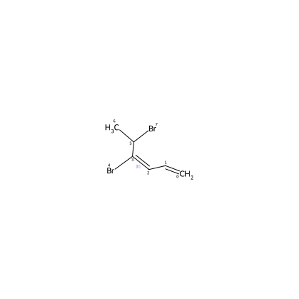 C=C/C=C(/Br)C(C)Br